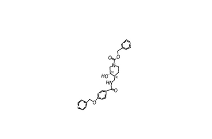 O=C(NC[C@@H]1CCN(C(=O)OCc2ccccc2)C[C@H]1O)c1ccc(OCc2ccccc2)cc1